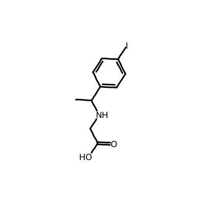 CC(NCC(=O)O)c1ccc(I)cc1